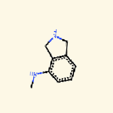 CNc1cccc2c1CNC2